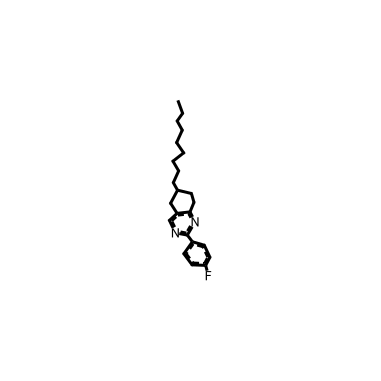 CCCCCCCCCC1CCc2nc(-c3ccc(F)cc3)ncc2C1